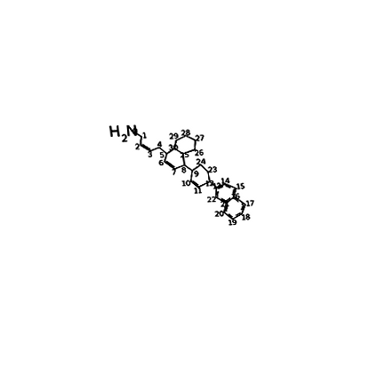 NC/C=C\CC1C=CC(C2C=CC(c3ccc4ccccc4c3)CC2)C2CCCCC12